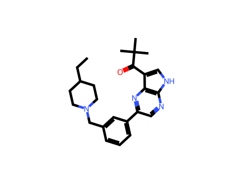 CCC1CCN(Cc2cccc(-c3cnc4[nH]cc(C(=O)C(C)(C)C)c4n3)c2)CC1